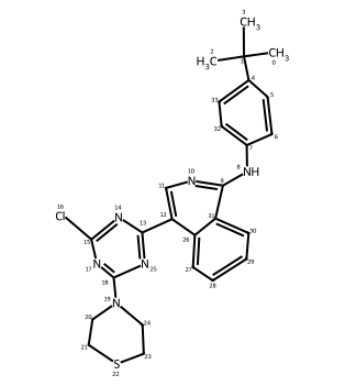 CC(C)(C)c1ccc(Nc2ncc(-c3nc(Cl)nc(N4CCSCC4)n3)c3ccccc23)cc1